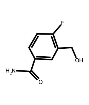 NC(=O)c1ccc(F)c(CO)c1